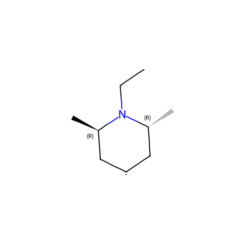 CCN1[C@H](C)C[CH]C[C@H]1C